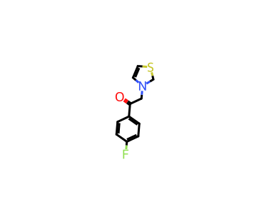 O=C(CN1C=CSC1)c1ccc(F)cc1